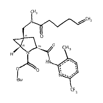 C=CCCCC(=O)N(C)C[C@@]12C[C@@H](C(=O)Nc3nc(C(F)(F)F)ccc3C)N(C(=O)OC(C)(C)C)[C@@H]1C2